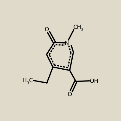 CCc1cc(=O)n(C)cc1C(=O)O